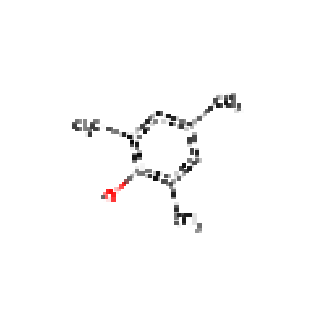 [O]c1c(C(Cl)(Cl)Cl)cc(C(Cl)(Cl)Cl)cc1C(Cl)(Cl)Cl